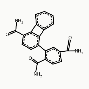 NC(=O)c1ccc(C(N)=O)c(-c2ccc(C(N)=O)c3c2-c2ccccc2-3)c1